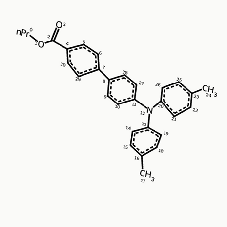 CCCOC(=O)c1ccc(-c2ccc(N(c3ccc(C)cc3)c3ccc(C)cc3)cc2)cc1